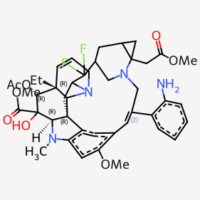 CC[C@]12C=CCN3C4C[C@@]5(c6cc(c(OC)cc6N(C)[C@H]5C(O)(C(=O)OC)[C@@H]1OC(C)=O)/C=C(/c1ccccc1N)CN1CC(CC5CC51CC(=O)OC)C4(F)F)C32